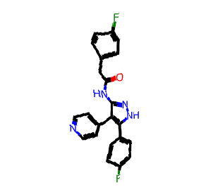 O=C(Cc1ccc(F)cc1)Nc1n[nH]c(-c2ccc(F)cc2)c1-c1ccncc1